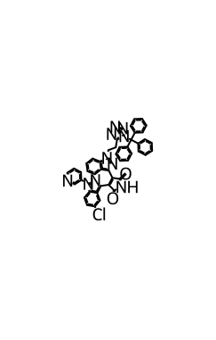 O=C1NC(=O)C(c2nn(-c3cccnc3)c3ccc(Cl)cc23)=C1c1nn(CCc2nnnn2C(c2ccccc2)(c2ccccc2)c2ccccc2)c2ccccc12